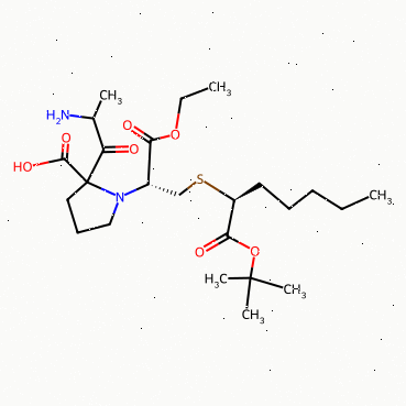 CCCCC[C@H](SC[C@@H](C(=O)OCC)N1CCCC1(C(=O)O)C(=O)C(C)N)C(=O)OC(C)(C)C